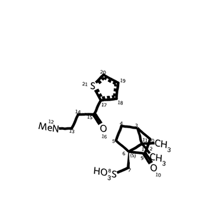 CC1(C)C2CC[C@@]1(CS(=O)(=O)O)C(=O)C2.CNCCC(=O)c1cccs1